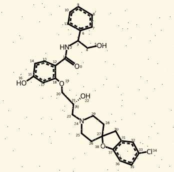 O=C(NC(CO)c1ccccc1)c1ccc(O)cc1OC[C@H](O)CN1CCC2(CC1)Cc1cc(Cl)ccc1O2